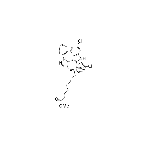 COC(=O)CCCCCCCNC(=O)c1[nH]c2cc(Cl)ccc2c1-c1c(Cc2ccc(Cl)cc2)cnn1-c1ccccc1